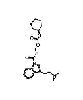 CN(C)CCc1cn(C(=O)OCOC(=O)OC2CCCCC2)c2ccccc12